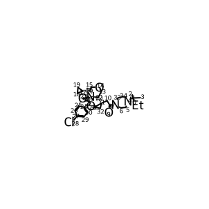 CCC(C)(C)N1CCN(C(=O)CC2([C@H]3COC[C@@H](C4CC4)N3S(=O)(=O)c3ccc(Cl)cc3)CC2)CC1